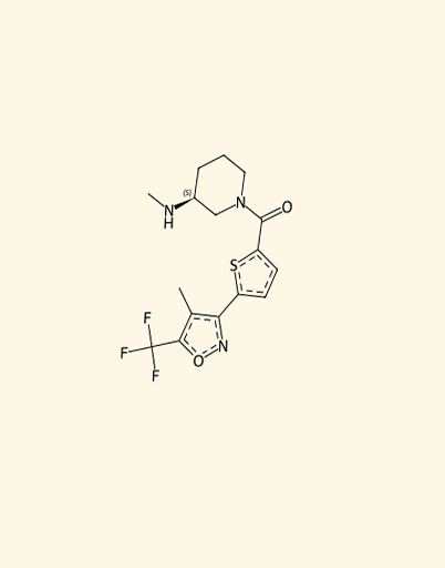 CN[C@H]1CCCN(C(=O)c2ccc(-c3noc(C(F)(F)F)c3C)s2)C1